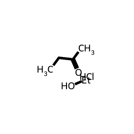 CCC(C)=O.CCO.Cl